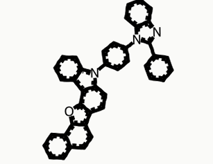 c1ccc(-c2nc3ccccc3n2-c2ccc(-n3c4ccccc4c4c5oc6c7ccccc7ccc6c5ccc43)cc2)cc1